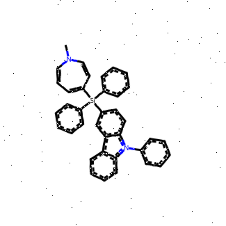 CN1C=CC=C([Si](c2ccccc2)(c2ccccc2)c2ccc3c(c2)c2ccccc2n3-c2ccccc2)C=C1